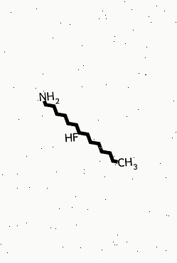 CCCCCCCCCCCCCCN.F